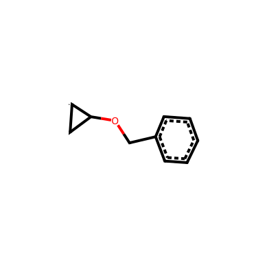 [CH]1CC1OCc1ccccc1